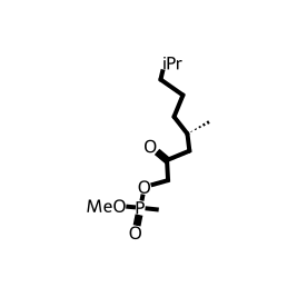 COP(C)(=O)OCC(=O)C[C@@H](C)CCCC(C)C